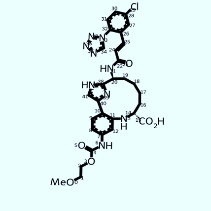 COCCOC(=O)Nc1ccc2c(c1)N[C@@H](C(=O)O)CCCC[C@H](NC(=O)C=Cc1cc(Cl)ccc1-n1cnnn1)c1nc-2c[nH]1